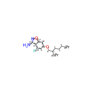 CCCC(CCCC(C)C)COc1cc(F)c2c(N)noc2c1